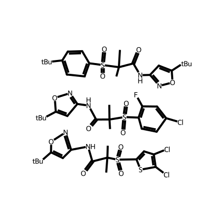 CC(C)(C)c1cc(NC(=O)C(C)(C)S(=O)(=O)c2cc(Cl)c(Cl)s2)no1.CC(C)(C)c1cc(NC(=O)C(C)(C)S(=O)(=O)c2ccc(Cl)cc2F)no1.CC(C)(C)c1ccc(S(=O)(=O)C(C)(C)C(=O)Nc2cc(C(C)(C)C)on2)cc1